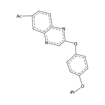 CC(=O)c1ccc2nc(Oc3ccc(OC(C)C)cc3)cnc2c1